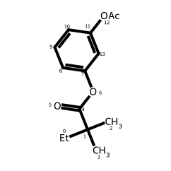 CCC(C)(C)C(=O)Oc1cccc(OC(C)=O)c1